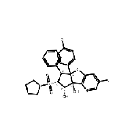 O=S(=O)([C@H]1[C@@H](O)[C@@]2(O)c3ncc(Cl)cc3O[C@@]2(c2ccc(Br)cc2)[C@@H]1c1ccccc1)N1CCCC1